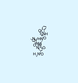 CCn1nc(C)cc1C(=O)Nc1nc2cc(C(N)=O)cc(OC)c2n1CCCNC(=O)[C@@H]1CSC2(Cc3ccccc3C2=O)N1